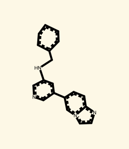 c1ccc(CNc2cncc(-c3ccc4nccn4c3)c2)cc1